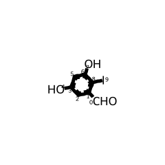 O=Cc1cc(O)cc(O)c1I